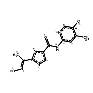 C/C(=N\O)c1ncc(C(=O)Nc2cc(C(F)(F)F)c(Cl)cn2)s1